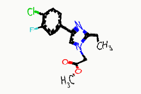 CCc1nc(-c2ccc(Cl)c(F)c2)cn1CC(=O)OC